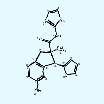 C[C@@]1(C(=O)Nc2nccs2)Cc2ccc(O)cc2[C@@H]1c1cccs1